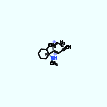 C#C/C=C(\C=C/C)[C@@]1(NC)CCCCC1C